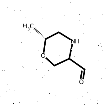 C[C@@H]1CNC(C=O)CO1